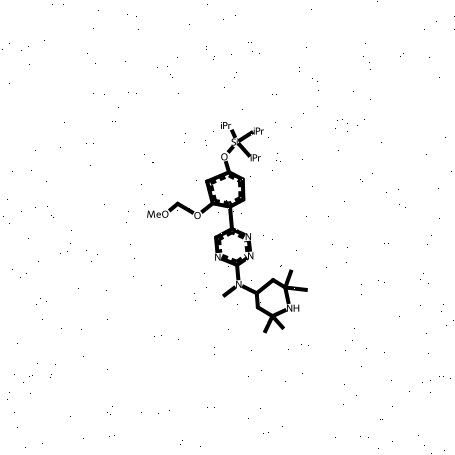 COCOc1cc(O[Si](C(C)C)(C(C)C)C(C)C)ccc1-c1cnc(N(C)C2CC(C)(C)NC(C)(C)C2)nn1